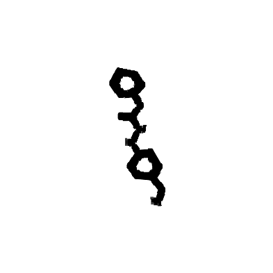 O=C(NNc1ccc(CS)cc1)Oc1ccccc1